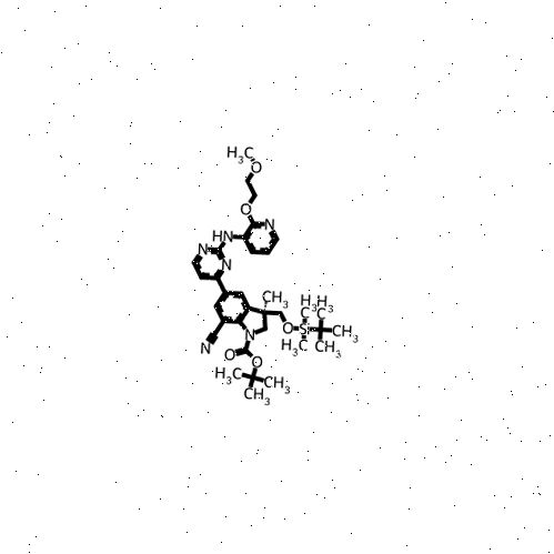 COCCOc1ncccc1Nc1nccc(-c2cc(C#N)c3c(c2)[C@@](C)(CO[Si](C)(C)C(C)(C)C)CN3C(=O)OC(C)(C)C)n1